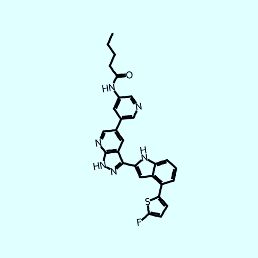 CCCCC(=O)Nc1cncc(-c2cnc3[nH]nc(-c4cc5c(-c6ccc(F)s6)cccc5[nH]4)c3c2)c1